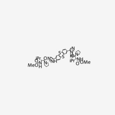 COC(=O)NC(C(=O)N1CCC[C@H]1c1ncc(-c2ccc3c(c2)Sc2ccc(-c4cnc([C@@H]5CCCN5C(=O)[C@@H](NC(=O)OC)C(C)C)[nH]4)cc2S3)[nH]1)C(C)C